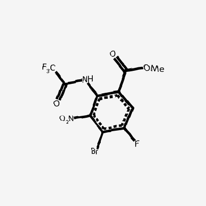 COC(=O)c1cc(F)c(Br)c([N+](=O)[O-])c1NC(=O)C(F)(F)F